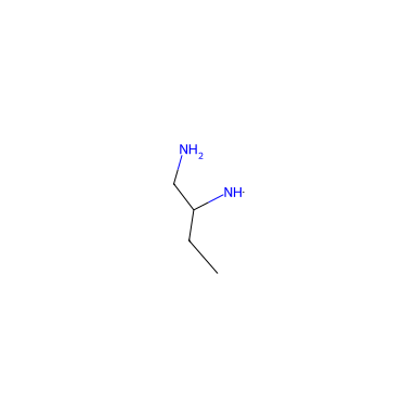 CCC([NH])CN